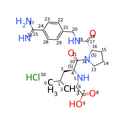 CC(C)C[C@H](NCC(=O)O)C(=O)N1CCC[C@H]1C(=O)NCc1ccc(C(=N)N)cc1.Cl